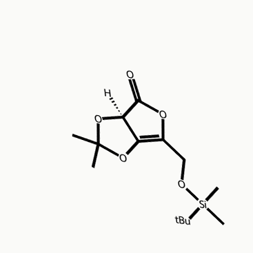 CC1(C)OC2=C(CO[Si](C)(C)C(C)(C)C)OC(=O)[C@@H]2O1